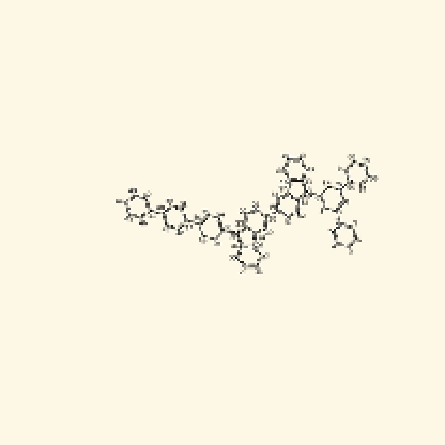 C1=C(c2ccccc2)C=C(n2c3ccccc3c3cc(-c4ccc5c(c4)c4ccccc4n5C4=CC=C(c5ccc(-c6ccccc6)cc5)CC4)ccc32)CC1c1ccccc1